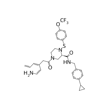 C=C/C=C(\C=C/N)CC(=O)N1CCN(Sc2ccc(OC(F)(F)F)cc2)[C@@H](C(=O)NCc2ccc(C3CC3)cc2)C1